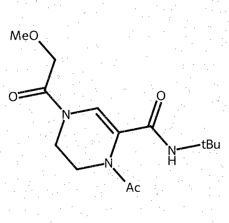 COCC(=O)N1C=C(C(=O)NC(C)(C)C)N(C(C)=O)CC1